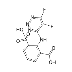 O=C(O)c1cccc(S(=O)(=O)O)c1Nc1nnnc(F)c1F